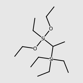 CCO[Si](CC)(OCC)C(C)[Si](CC)(CC)CC